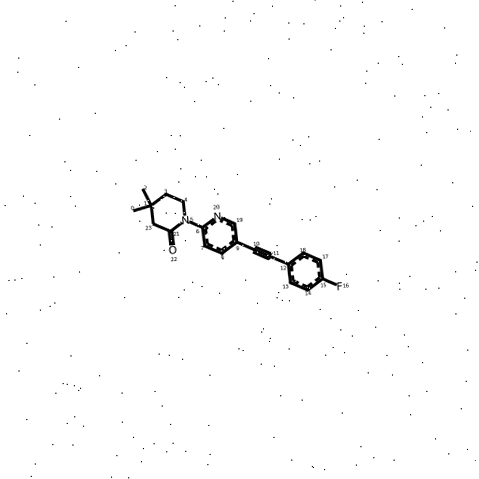 CC1(C)CCN(c2ccc(C#Cc3ccc(F)cc3)cn2)C(=O)C1